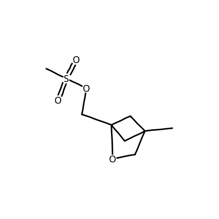 CC12COC(COS(C)(=O)=O)(C1)C2